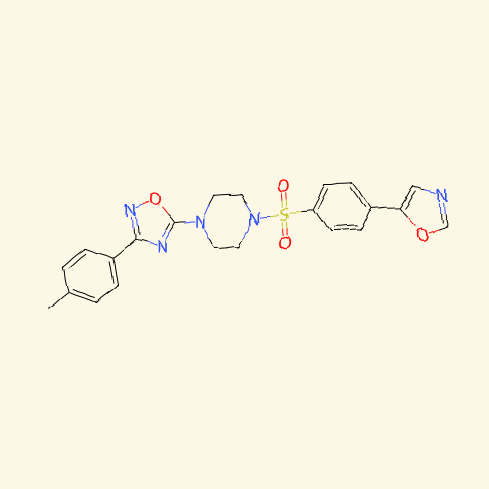 Cc1ccc(-c2noc(N3CCN(S(=O)(=O)c4ccc(-c5cnco5)cc4)CC3)n2)cc1